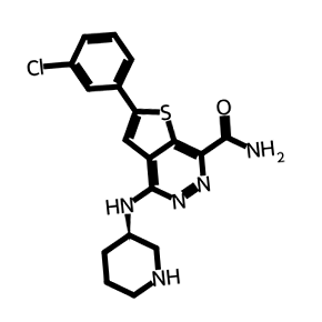 NC(=O)c1nnc(N[C@@H]2CCCNC2)c2cc(-c3cccc(Cl)c3)sc12